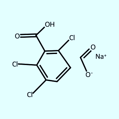 O=C(O)c1c(Cl)ccc(Cl)c1Cl.O=C[O-].[Na+]